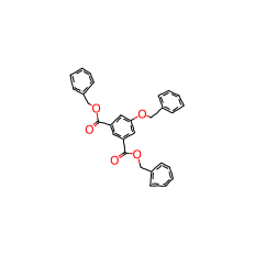 O=C(OCc1ccccc1)c1cc(OCc2ccccc2)cc(C(=O)OCc2ccccc2)c1